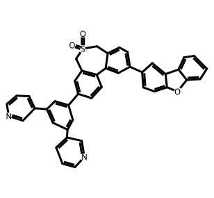 O=S1(=O)Cc2cc(-c3cc(-c4cccnc4)cc(-c4cccnc4)c3)ccc2-c2cc(-c3ccc4oc5ccccc5c4c3)ccc2C1